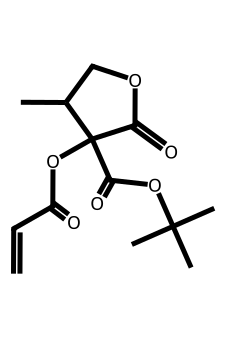 C=CC(=O)OC1(C(=O)OC(C)(C)C)C(=O)OCC1C